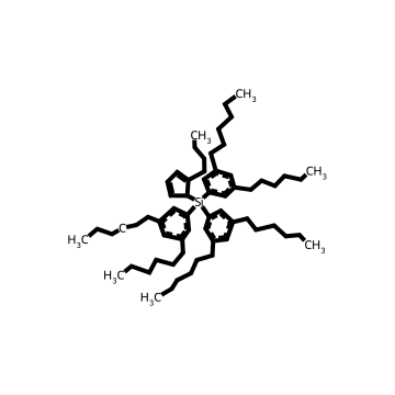 CCCCCCc1cc(CCCCCC)cc([Si]([C]2C=CC=C2CCCC)(c2cc(CCCCCC)cc(CCCCCC)c2)c2cc(CCCCCC)cc(CCCCCC)c2)c1